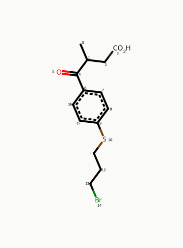 CC(CC(=O)O)C(=O)c1ccc(SCCCBr)cc1